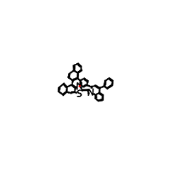 CCc1nc2c(-c3ccc4ccccc4c3-c3ccc(-c4cc(-c5ccccc5)c5ccccc5n4)cc3)c3ccccc3cc2s1